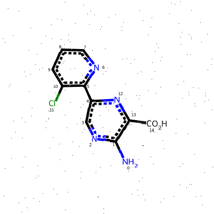 Nc1ncc(-c2ncccc2Cl)nc1C(=O)O